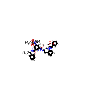 C[C@@H](NC(=O)c1cc(C(=O)N[C@H](CN[C@H](CO)Cc2ccccc2)Cc2ccccc2)cc(N(C)S(C)(=O)=O)c1)c1ccccc1